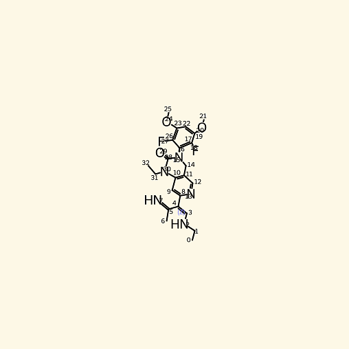 CCN/C=C(\C(C)=N)c1cc2c(cn1)CN(c1c(F)c(OC)cc(OC)c1F)C(=O)N2CC